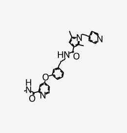 CNC(=O)c1cc(Oc2cccc(CCNC(=O)c3cc(C)n(Cc4ccncc4)c3C)c2)ccn1